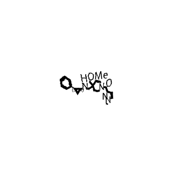 COCC1(CN[C@@H]2C[C@H]2c2ccccc2)CCN(C(=O)c2ccn(C)n2)CC1